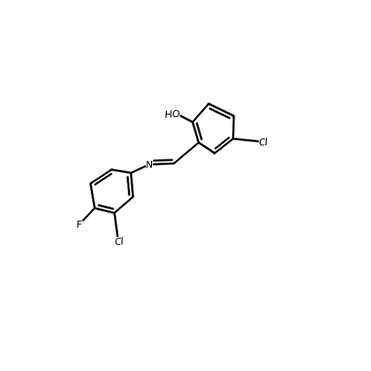 Oc1ccc(Cl)cc1C=Nc1ccc(F)c(Cl)c1